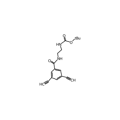 C#Cc1cc(C#C)cc(C(=O)NCCNC(=O)OC(C)(C)C)c1